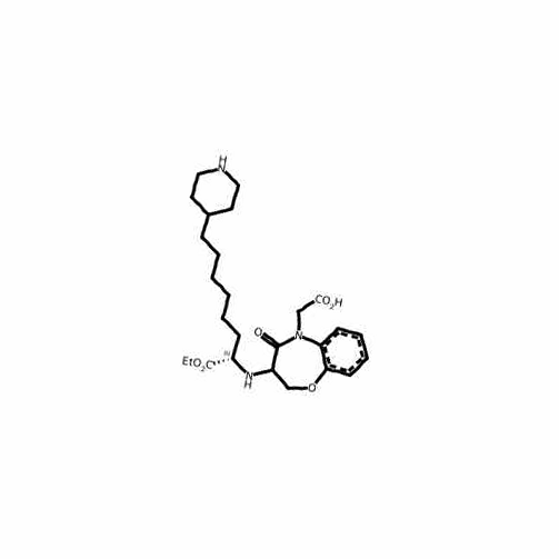 CCOC(=O)[C@H](CCCCCCC1CCNCC1)NC1COc2ccccc2N(CC(=O)O)C1=O